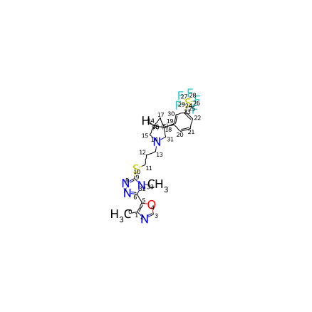 Cc1ncoc1-c1nnc(SCCCN2C[C@@H]3C[C@]3(c3cccc(S(F)(F)(F)(F)F)c3)C2)n1C